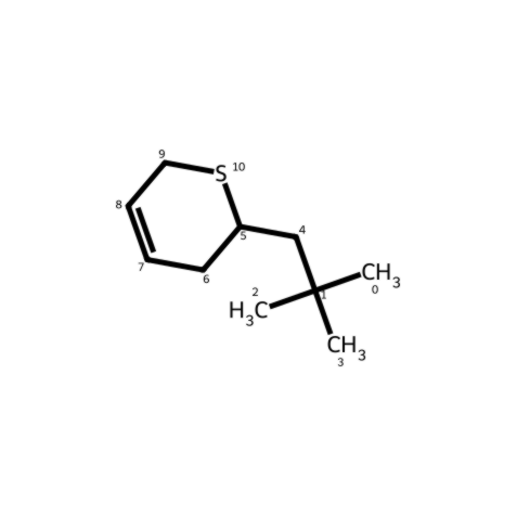 CC(C)(C)CC1CC=CCS1